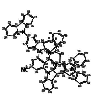 N#Cc1cc(-n2c3ccccc3c3cc(-n4c5ccccc5c5ccccc54)ccc32)c(-c2nc(-c3ccccc3)cc(-c3ccccc3)n2)c(-n2c3ccccc3c3cc(-n4c5ccccc5c5ccccc54)ccc32)c1